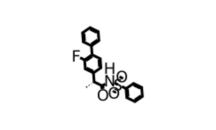 C[C@@H](C(=O)NS(=O)(=O)c1ccccc1)c1ccc(-c2ccccc2)c(F)c1